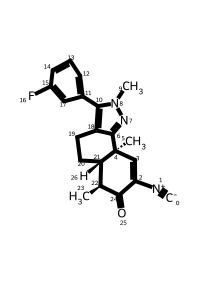 [C-]#[N+]C1=C[C@]2(C)c3nn(C)c(-c4cccc(F)c4)c3CC[C@H]2[C@H](C)C1=O